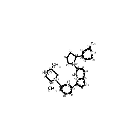 C[C@@H]1CN[C@@H](C)CN1c1cccc(-c2cnc3ccc(N4CCCC4c4cccc(F)c4)nn23)n1